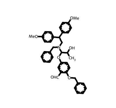 COc1ccc(C(CN(Cc2ccccc2)C(Oc2ccc(OCc3ccccc3)c(C=O)c2)C(C)O)c2ccc(OC)cc2)cc1